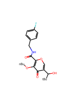 CCCCOc1c(C(=O)NCc2ccc(F)cc2)occ(C(O)C(C)(C)C)c1=O